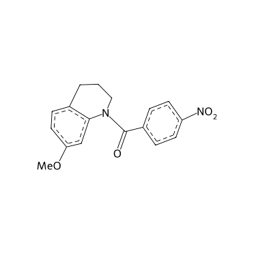 COc1ccc2c(c1)N(C(=O)c1ccc([N+](=O)[O-])cc1)CCC2